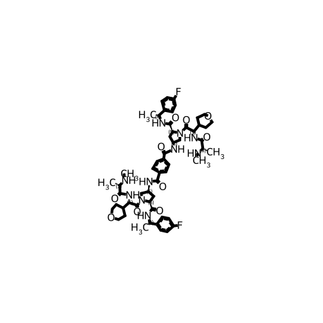 CN[C@@H](C)C(=O)N[C@H](C(=O)N1C[C@@H](NC(=O)c2ccc(C(=O)N[C@H]3C[C@@H](C(=O)N[C@H](C)c4ccc(F)cc4)N(C(=O)[C@@H](NC(=O)[C@H](C)NC)C4CCOCC4)C3)cc2)C[C@H]1C(=O)N[C@H](C)c1ccc(F)cc1)C1CCOCC1